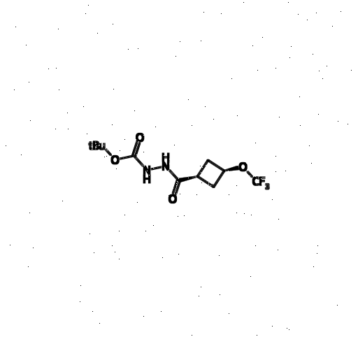 CC(C)(C)OC(=O)NNC(=O)[C@H]1C[C@@H](OC(F)(F)F)C1